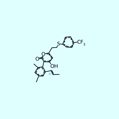 C/C=C/c1cc(C)cc(C)c1-c1c(O)cc(CCSc2ccc(C(F)(F)F)cc2)oc1=O